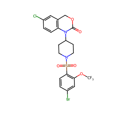 O=C1OCc2cc(Cl)ccc2N1C1CCN(S(=O)(=O)c2ccc(Br)cc2OC(F)(F)F)CC1